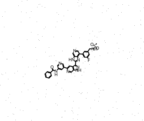 CS(=O)(=O)NCc1cc(F)cc(-c2cncc3[nH]c(-c4n[nH]c5cnc(-c6cncc(NC(=O)c7ccccc7)c6)cc45)nc23)c1